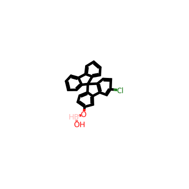 OBOc1ccc2c(c1)-c1cc(Cl)ccc1C21c2ccccc2-c2ccccc21